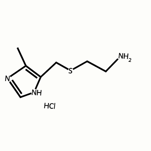 Cc1nc[nH]c1CSCCN.Cl